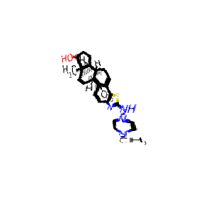 CN1CCN(Nc2nc3c(s2)C2=CC[C@H]4[C@@H]5CC[C@H](O)[C@@]5(C)CC[C@@H]4[C@@]2(C)CC3)CC1